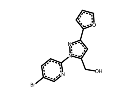 OCc1cc(-c2ccco2)nn1-c1ccc(Br)cn1